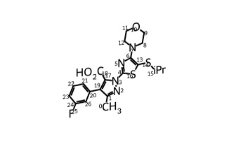 Cc1nn(-c2nc(N3CCOCC3)c(SC(C)C)s2)c(C(=O)O)c1-c1cccc(F)c1